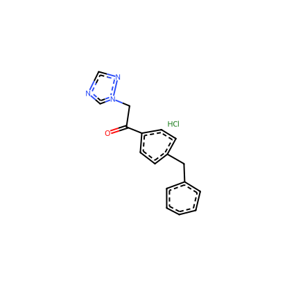 Cl.O=C(Cn1cncn1)c1ccc(Cc2ccccc2)cc1